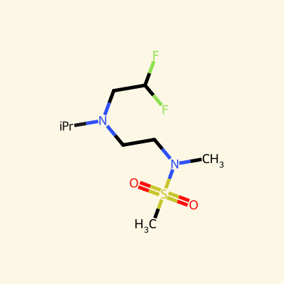 CC(C)N(CCN(C)S(C)(=O)=O)CC(F)F